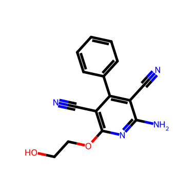 N#Cc1c(N)nc(OCCO)c(C#N)c1-c1ccccc1